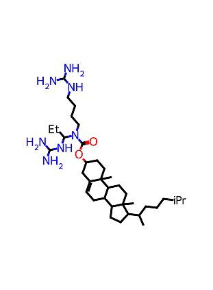 CCC(NC(N)N)N(CCCCNC(N)N)C(=O)OC1CCC2(C)C(=CCC3C2CCC2(C)C(C(C)CCCC(C)C)CCC32)C1